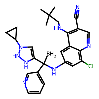 BC(Nc1cc(Cl)c2ncc(C#N)c(NCC(C)(C)C)c2c1)(C1=CN(C2CC2)NN1)c1cccnc1